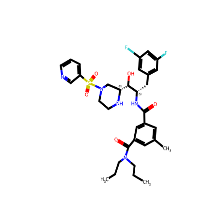 CCCN(CCC)C(=O)c1cc(C)cc(C(=O)N[C@@H](Cc2cc(F)cc(F)c2)C(O)[C@H]2CN(S(=O)(=O)c3cccnc3)CCN2)c1